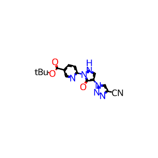 CC(C)(C)OC(=O)c1ccc(-n2[nH]cc(-n3cc(C#N)nn3)c2=O)nc1